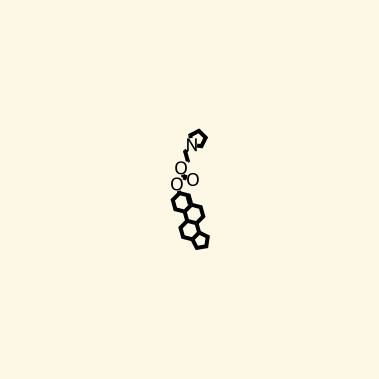 O=C(OCCN1CCCC1)OC1C=C2CCC3C4CCCC4CCC3C2CC1